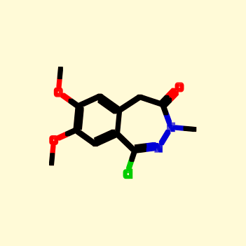 COc1cc2c(cc1OC)C(Cl)=NN(C)C(=O)C2